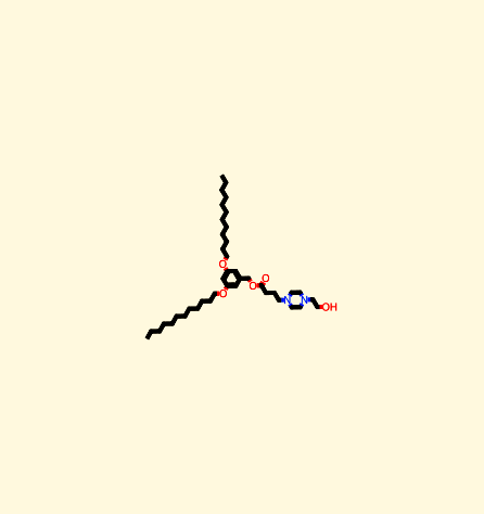 CCCCCCCCCCCCOc1cc(COC(=O)CCCN2CCN(CCO)CC2)cc(OCCCCCCCCCCCC)c1